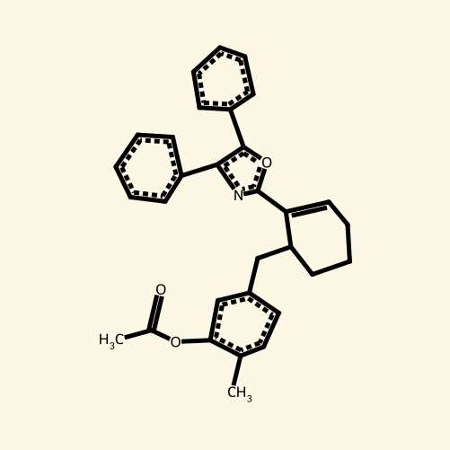 CC(=O)Oc1cc(CC2CCCC=C2c2nc(-c3ccccc3)c(-c3ccccc3)o2)ccc1C